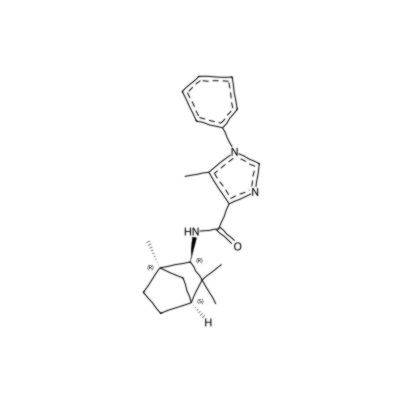 Cc1c(C(=O)N[C@H]2C(C)(C)[C@H]3CC[C@]2(C)C3)ncn1-c1ccccc1